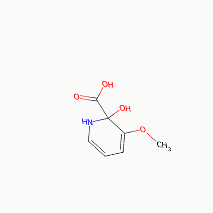 COC1=CC=CNC1(O)C(=O)O